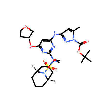 CCS(=O)(=O)N1[C@@H]2CCC[C@H]1C[C@@H](N(C)c1nc(Nc3cc(C)n(C(=O)OC(C)(C)C)n3)cc(O[C@H]3CCOC3)n1)C2